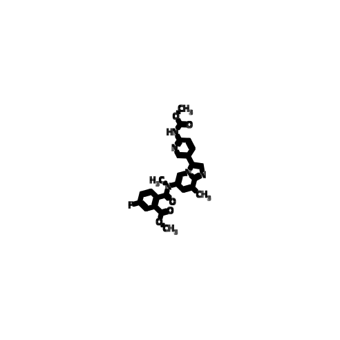 COC(=O)Nc1ccc(-c2cnc3c(C)cc(N(C)C(=O)c4ccc(F)cc4C(=O)OC)cn23)cn1